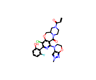 C=CC(=O)N1CCN2C(=O)c3c(N4CCOc5nn(C)cc54)nc(-c4c(O)cccc4F)c(Cl)c3OCC2C1